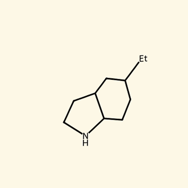 [CH2]CC1CCC2NCCC2C1